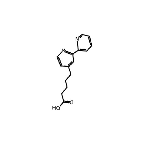 O=C(O)CCCCc1ccnc(-c2ccccn2)c1